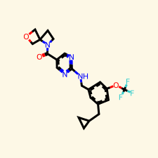 O=C(c1cnc(NCc2cc(CC3CC3)cc(OC(F)(F)F)c2)nc1)N1CCC12COC2